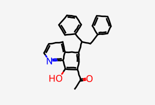 CC(=O)c1cc(C(Cc2ccccc2)c2ccccc2)c2cccnc2c1O